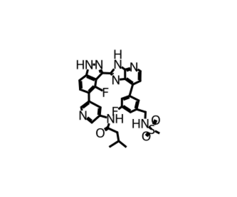 CC(C)CC(=O)Nc1cncc(-c2ccc3[nH]nc(-c4nc5c(-c6cc(F)cc(CNS(C)(=O)=O)c6)ccnc5[nH]4)c3c2F)c1